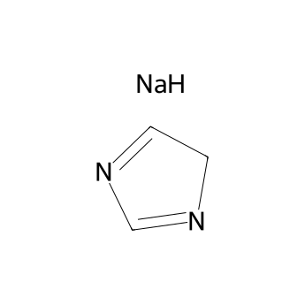 C1=NC=NC1.[NaH]